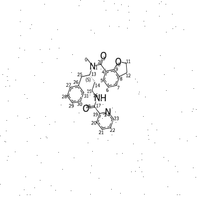 CN(C(=O)c1cccc2c1OCC2)[C@H](CCNC(=O)c1ccccn1)Cc1ccccc1